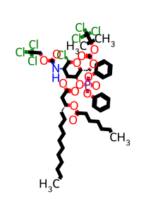 CCCCCCCCCCC[C@H](CC(=O)O[C@@H]1[C@H](NC(=O)OCC(Cl)(Cl)Cl)[C@@H](Cl)O[C@H](COC(=O)OC(C)(C)C(Cl)(Cl)Cl)[C@H]1OP(=O)(Oc1ccccc1)Oc1ccccc1)OC(=O)CCCCCC